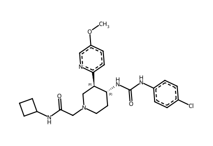 COc1ccc([C@@H]2CN(CC(=O)NC3CCC3)CC[C@H]2NC(=O)Nc2ccc(Cl)cc2)nc1